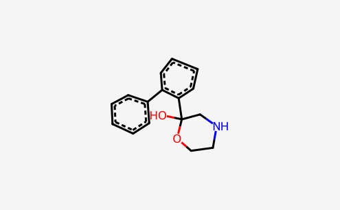 OC1(c2ccccc2-c2ccccc2)CNCCO1